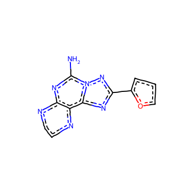 Nc1nc2nccnc2c2nc(-c3ccco3)nn12